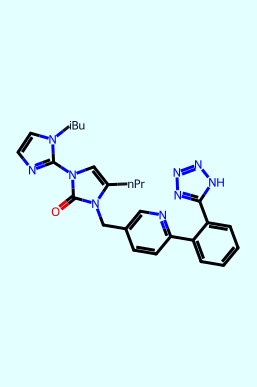 CCCc1cn(-c2nccn2C(C)CC)c(=O)n1Cc1ccc(-c2ccccc2-c2nnn[nH]2)nc1